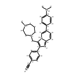 CN1CCCN(Cc2c(-c3ccc(C#N)cc3)nc3ccc(-c4ccc(N(C)C)cc4)cn23)CC1